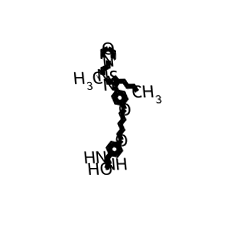 CCCCc1sc(N(C)CCN2CCOCC2)nc1-c1ccc(OCCCCCOc2ccc(C(=N)NO)cc2)cc1